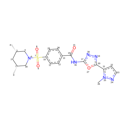 C[C@@H]1C[C@H](C)CN(S(=O)(=O)c2ccc(C(=O)Nc3nnc(-c4ccnn4C)o3)cc2)C1